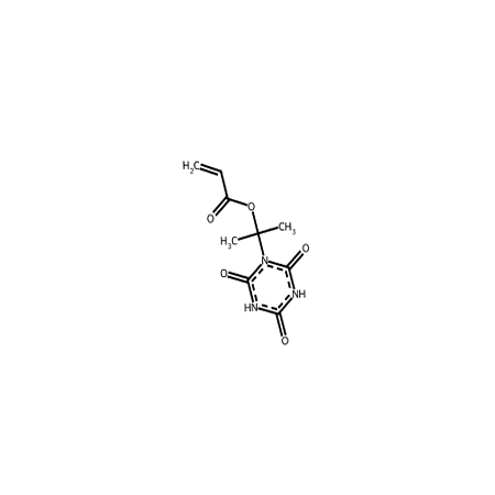 C=CC(=O)OC(C)(C)n1c(=O)[nH]c(=O)[nH]c1=O